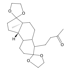 CC(=O)CCC1C2CC[C@@]3(C)[C@@H](CCC34OCCO4)C2CCC12OCCO2